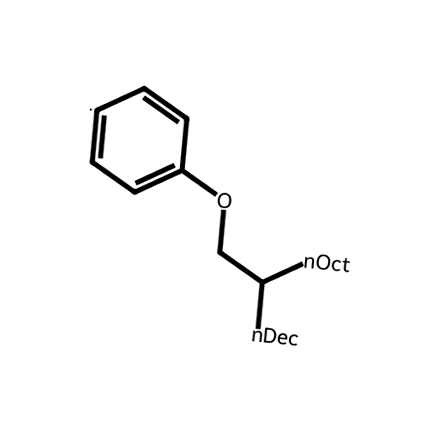 CCCCCCCCCCC(CCCCCCCC)COc1cc[c]cc1